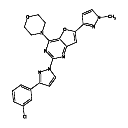 Cn1ccc(-c2cc3nc(-n4ccc(-c5cccc(Cl)c5)n4)nc(N4CCOCC4)c3o2)n1